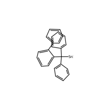 [Sn][C](c1ccccc1)(c1ccccc1)c1ccccc1-c1ccccc1